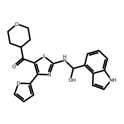 O=C(c1sc(NC(O)c2cccc3[nH]ccc23)nc1-c1ccco1)C1CCOCC1